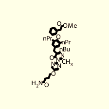 CCCCc1nc(C)n(-c2ncc(OCCCC(N)=O)cn2)c(=O)c1Cc1cc(CCC)c(Oc2ccccc2CC(=O)OC)c(CCC)c1